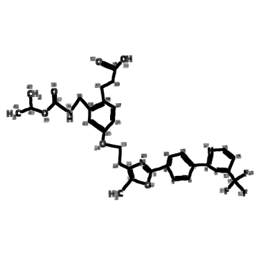 Cc1oc(-c2ccc(-c3cc(C(F)(F)F)ccn3)cc2)nc1CCOc1ccc(CCC(=O)O)c(CNC(=O)OC(C)C)c1